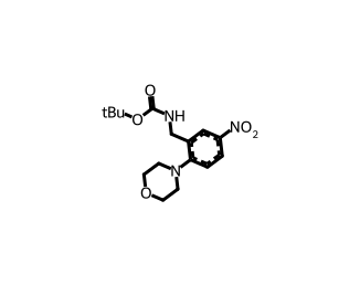 CC(C)(C)OC(=O)NCc1cc([N+](=O)[O-])ccc1N1CCOCC1